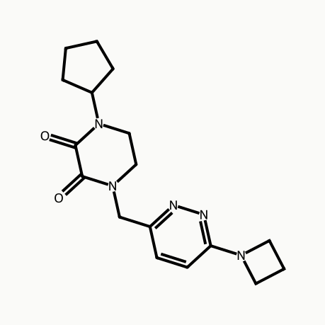 O=C1C(=O)N(C2CCCC2)CCN1Cc1ccc(N2CCC2)nn1